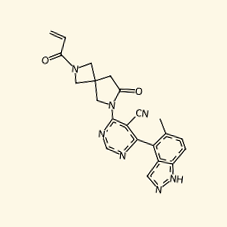 C=CC(=O)N1CC2(CC(=O)N(c3ncnc(-c4c(C)ccc5[nH]ncc45)c3C#N)C2)C1